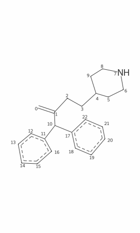 C=C(CCC1CCNCC1)C(c1ccccc1)c1ccccc1